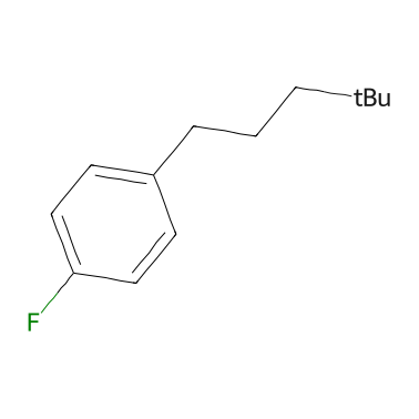 CC(C)(C)CCCc1ccc(F)cc1